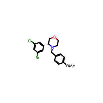 COc1ccc(CN2CCOC[C@H]2c2cc(Cl)cc(Br)c2)cc1